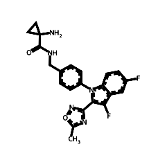 Cc1nc(-c2c(F)c3cc(F)ccc3n2-c2ccc(CNC(=O)C3(N)CC3)cc2)no1